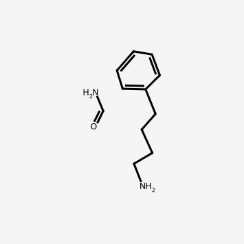 NC=O.NCCCCc1ccccc1